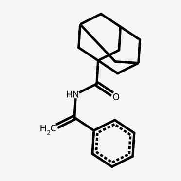 C=C(NC(=O)C12CC3CC(CC(C3)C1)C2)c1ccccc1